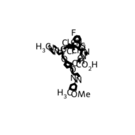 CO[C@]1(C)CC[C@H](c2nccc(COc3ccc4cc3C[C@H](C(=O)O)Oc3ncnc5sc(-c6ccc(F)cc6)c(c35)-c3c(C)c(Cl)c(c(Cl)c3C)O[C@H](CN3CCN(C)CC3)CO4)n2)CC1